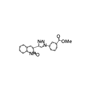 COC(=O)c1cccc(-n2cc(-c3cc4ccccc4[nH]c3=O)nn2)c1